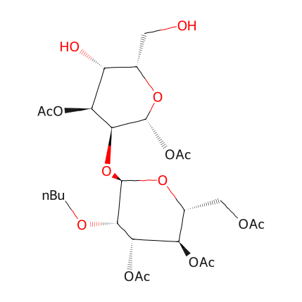 CCCCO[C@@H]1[C@@H](O[C@@H]2[C@@H](OC(C)=O)O[C@@H](CO)[C@@H](O)[C@@H]2OC(C)=O)O[C@H](COC(C)=O)[C@@H](OC(C)=O)[C@@H]1OC(C)=O